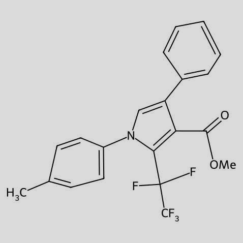 COC(=O)c1c(-c2ccccc2)cn(-c2ccc(C)cc2)c1C(F)(F)C(F)(F)F